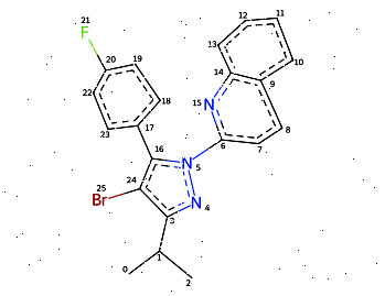 CC(C)c1nn(-c2ccc3ccccc3n2)c(-c2ccc(F)cc2)c1Br